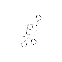 CCOc1cc(OS(=O)(=O)c2ccccc2)c(OCC)cc1C=C1C(=O)N(c2ccccc2)N(c2ccccc2)C1=O